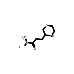 CN(C)C(=O)CCC1COCCN1